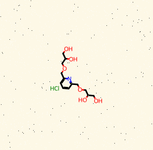 Cl.OCC(O)COCc1cccc(COCC(O)CO)n1